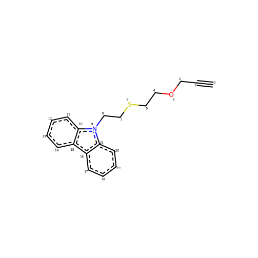 C#CCOCCSCCn1c2ccccc2c2ccccc21